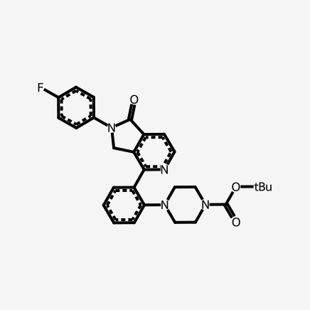 CC(C)(C)OC(=O)N1CCN(c2ccccc2-c2nccc3c2CN(c2ccc(F)cc2)C3=O)CC1